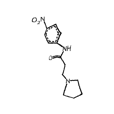 O=C(CCN1CCCC1)Nc1ccc([N+](=O)[O-])cc1